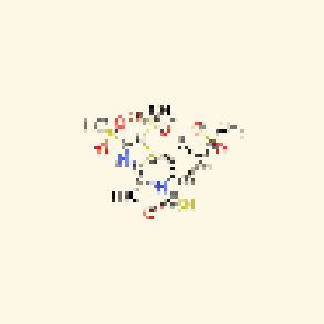 CC(C1=NC(S(C)(=O)=O)C(S(C)(=O)=O)S1)N(C(=O)S)c1ccc(S(C)(=O)=O)cc1